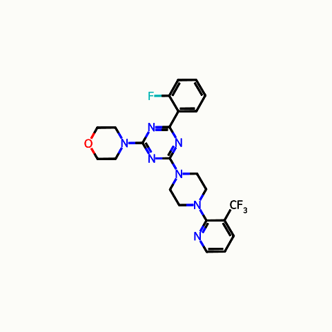 Fc1ccccc1-c1nc(N2CCOCC2)nc(N2CCN(c3ncccc3C(F)(F)F)CC2)n1